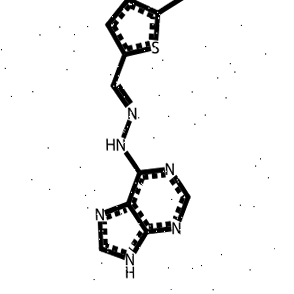 Cc1ccc(C=NNc2ncnc3[nH]cnc23)s1